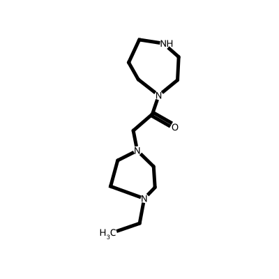 CCN1CCN(CC(=O)N2CCCNCC2)CC1